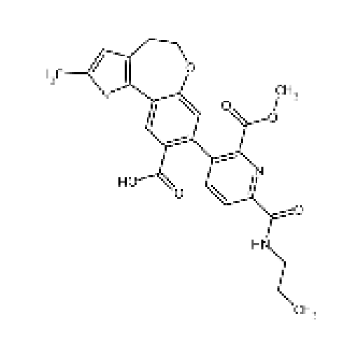 CCCNC(=O)c1ccc(-c2cc3c(cc2C(=O)O)-c2sc(C)cc2CCO3)c(C(=O)OC)n1